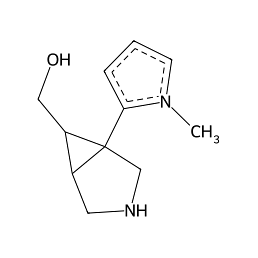 Cn1cccc1C12CNCC1C2CO